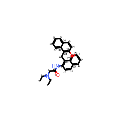 CCN(CC)CC(=O)Nc1ccc2ccccc2c1Cc1c(OC)ccc2ccccc12